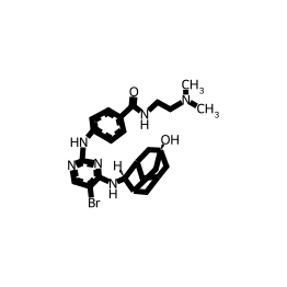 CN(C)CCNC(=O)c1ccc(Nc2ncc(Br)c(N[C@H]3C4CC5CC3C[C@](O)(C5)C4)n2)cc1